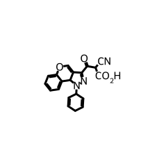 N#CC(C(=O)O)C(=O)C1=NN(C2C=CCC=C2)C2C1=COc1ccccc12